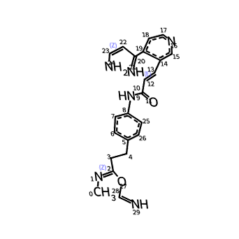 C/N=C(/CCc1ccc(NC(=O)/C=C/c2cnccc2C(=N)/C=C\N)cc1)OC=N